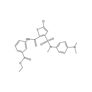 CCOC(=O)c1cccc(NC(=O)c2sc(Cl)cc2S(=O)(=O)N(C)c2ccc(N(C)C)cc2)c1